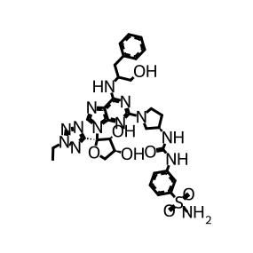 CCn1nnc([C@@]2(n3cnc4c(NC(CO)Cc5ccccc5)nc(N5CC[C@@H](NC(=O)Nc6cccc(S(N)(=O)=O)c6)C5)nc43)OC[C@H](O)[C@H]2O)n1